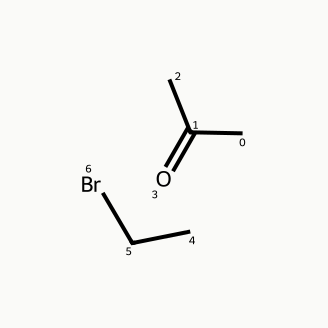 CC(C)=O.CCBr